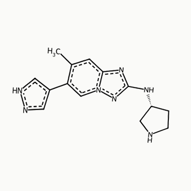 Cc1cc2nc(N[C@@H]3CCNC3)nn2cc1-c1cn[nH]c1